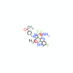 CC(=O)c1ccc(Cn2nc(C(F)(F)F)c(-c3c(C(N)=O)nc4cc(F)ccc4c3C(N)=O)c2C)cc1